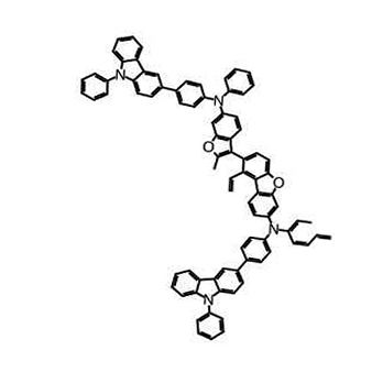 C=C/C=C\C(=C/C)N(c1ccc(-c2ccc3c(c2)c2ccccc2n3-c2ccccc2)cc1)c1ccc2c(c1)oc1ccc(-c3c(C)oc4cc(N(c5ccccc5)c5ccc(-c6ccc7c(c6)c6ccccc6n7-c6ccccc6)cc5)ccc34)c(C=C)c12